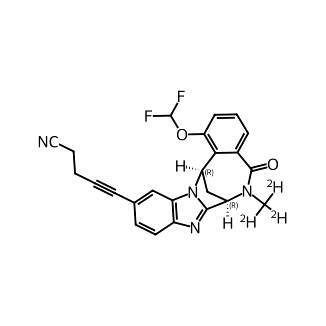 [2H]C([2H])([2H])N1C(=O)c2cccc(OC(F)F)c2[C@H]2C[C@@H]1c1nc3ccc(C#CCCC#N)cc3n12